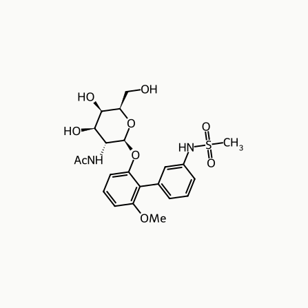 COc1cccc(O[C@@H]2O[C@H](CO)[C@H](O)[C@H](O)[C@H]2NC(C)=O)c1-c1cccc(NS(C)(=O)=O)c1